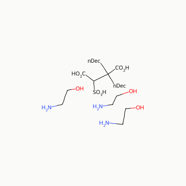 CCCCCCCCCCC(CCCCCCCCCC)(C(=O)O)C(C(=O)O)S(=O)(=O)O.NCCO.NCCO.NCCO